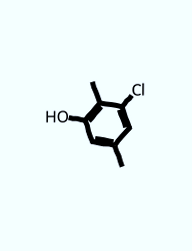 Cc1cc(O)c(C)c(Cl)c1